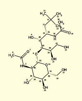 CC(=O)N[C@H]1[C@H](O[C@@H]([C@H](O)[C@H](CC(C)(C)C)NC(C)=O)[C@H](O)CO)O[C@H](CO)[C@@H](O)[C@@H]1O